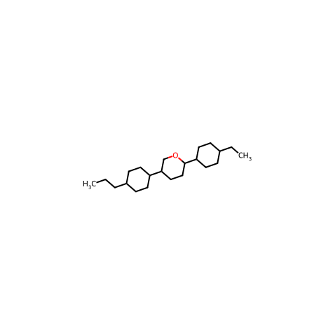 CCCC1CCC(C2CCC(C3CCC(CC)CC3)OC2)CC1